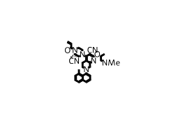 C=CC(=O)N1CCN(c2c(C#N)c(OC(C)CNC)nc3c2CCN(c2cccc4cccc(C)c24)C3)C[C@@H]1CC#N